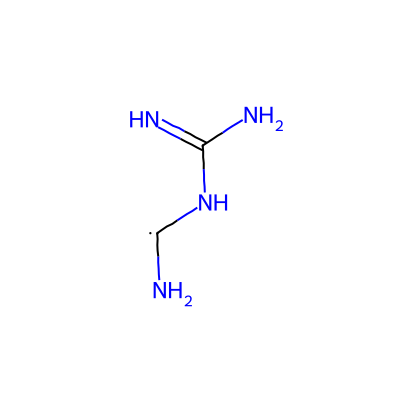 N=C(N)N[CH]N